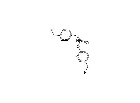 O=[PH](Oc1ccc(CF)cc1)Oc1ccc(CF)cc1